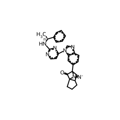 C[C@H](Nc1nccc(-n2cnc3ccc(C45CC6CCCC6(C4=O)[N+]5=[N-])cc32)n1)c1ccccc1